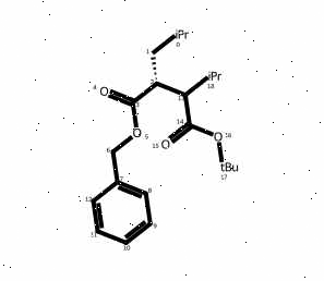 CC(C)C[C@@H](C(=O)OCc1ccccc1)C(C(=O)OC(C)(C)C)C(C)C